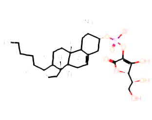 CC(C)CCC[C@@H](C)[C@H]1CC[C@H]2[C@@H]3CC=C4C[C@@H](OP(=O)([O-])OC5=C(O)[C@@H]([C@@H](O)CO)OC5=O)CC[C@]4(C)[C@H]3CC[C@]12C.[Na+]